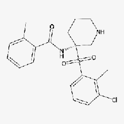 Cc1ccccc1C(=O)N[C@]1(S(=O)(=O)c2cccc(Cl)c2C)CCCNC1